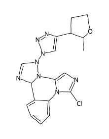 CC1OCCC1c1cn(N2C=NC3c4ccccc4-n4c(cnc4Cl)N32)nn1